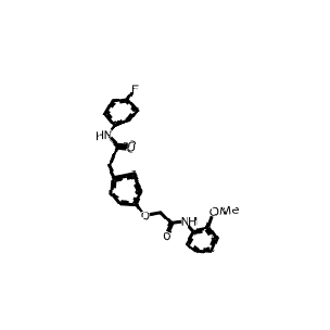 COc1ccccc1NC(=O)COc1ccc(CC(=O)Nc2ccc(F)cc2)cc1